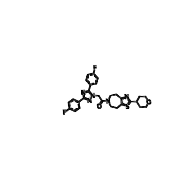 O=C(Cn1nc(-c2ccc(F)cc2)nc1-c1ccc(F)cc1)N1CCc2nc(C3CCOCC3)sc2CC1